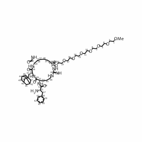 COCCOCCOCCOCCOCCOCCOCCOP1(=O)NCCCC[C@@H](C(N)=O)NC(=O)[C@H](CC23CC4CC(CC(C4)C2)C3)NC(=O)[C@H](NC(=O)[C@@H](N)Cc2ccccc2)CCCNC(=N)N1